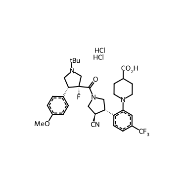 COc1ccc([C@@H]2CN(C(C)(C)C)C[C@@]2(F)C(=O)N2C[C@H](c3ccc(C(F)(F)F)cc3N3CCC(C(=O)O)CC3)[C@@H](C#N)C2)cc1.Cl.Cl